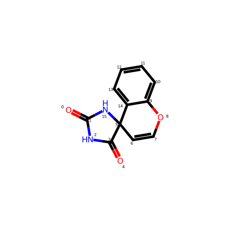 O=C1NC(=O)C2(C=COc3ccccc32)N1